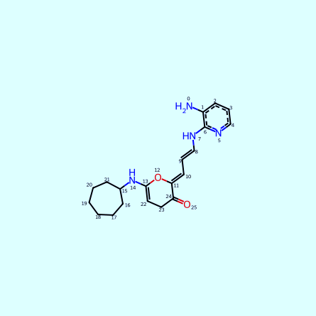 Nc1cccnc1N/C=C/C=C1\OC(NC2CCCCCC2)=CCC1=O